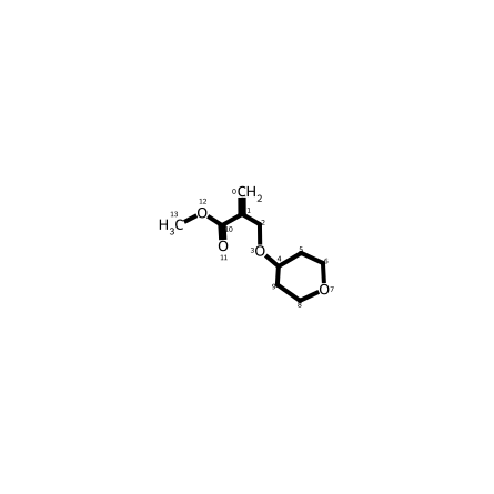 C=C(COC1CCOCC1)C(=O)OC